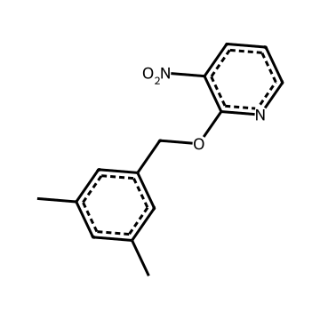 Cc1cc(C)cc(COc2ncccc2[N+](=O)[O-])c1